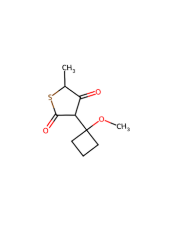 COC1(C2C(=O)SC(C)C2=O)CCC1